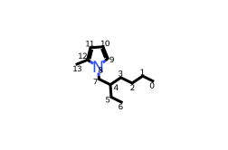 CCCCC(CC)Cn1cccc1C